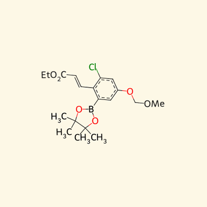 CCOC(=O)/C=C/c1c(Cl)cc(OCOC)cc1B1OC(C)(C)C(C)(C)O1